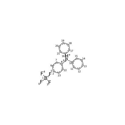 F[B-](F)(F)F.c1ccc([PH+](c2ccccc2)c2ccccc2)cc1